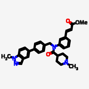 COC(=O)/C=C/c1cccc(N(Cc2ccc(-c3ccc4c(cnn4C)c3)cc2)C(=O)C2CCN(C)CC2)c1